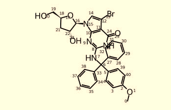 COc1ccc(C(Nc2nc3c(c(Br)cn3[C@@H]3O[C@H](CO)C[C@H]3O)c(=O)[nH]2)(c2ccccc2)c2ccccc2)cc1